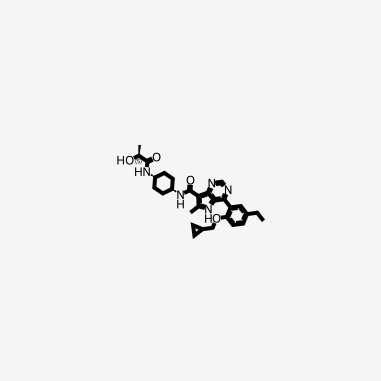 CCc1ccc(OCC2CC2)c(-c2ncnc3c(C(=O)N[C@H]4CC[C@@H](NC(=O)[C@H](C)O)CC4)c(C)[nH]c23)c1